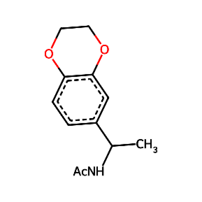 CC(=O)NC(C)c1ccc2c(c1)OCCO2